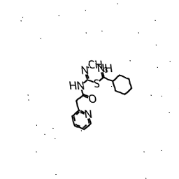 C/N=C(/NC(=O)Cc1ccccn1)SC(=N)C1CCCCC1